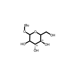 CC(C)(C)OC1OC(CO)[C@@H](O)[C@H](O)C1O